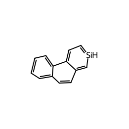 c1ccc2c(c1)ccc1c[siH]ccc12